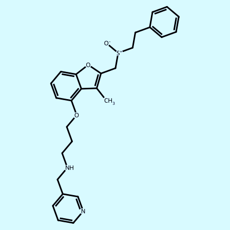 Cc1c(C[S+]([O-])CCc2ccccc2)oc2cccc(OCCCNCc3cccnc3)c12